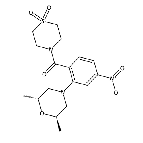 C[C@@H]1CN(c2cc([N+](=O)[O-])ccc2C(=O)N2CCS(=O)(=O)CC2)C[C@@H](C)O1